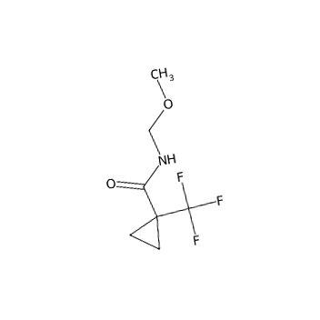 COCNC(=O)C1(C(F)(F)F)CC1